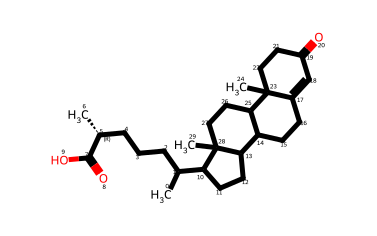 CC(CCC[C@@H](C)C(=O)O)C1CCC2C3CCC4=CC(=O)CCC4(C)C3CCC12C